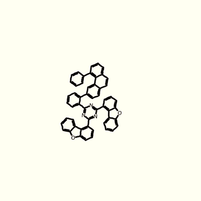 c1ccc(-c2cccc3ccc4ccc(-c5ccccc5-c5nc(-c6cccc7oc8ccccc8c67)nc(-c6cccc7oc8ccccc8c67)n5)cc4c23)cc1